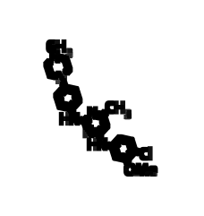 COc1cc(Nc2cc(C)nc(Nc3ccc(N4CCN(C)CC4)cc3)n2)ccc1Cl